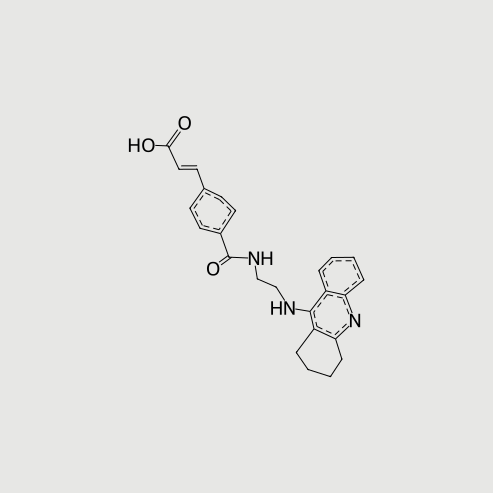 O=C(O)/C=C/c1ccc(C(=O)NCCNc2c3c(nc4ccccc24)CCCC3)cc1